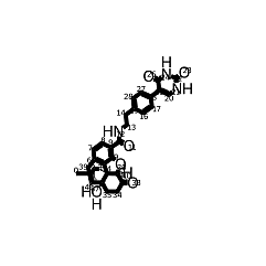 CC1CC[C@]23c4c5ccc(C(=O)NCCc6ccc(-c7c[nH]c(=O)[nH]c7=O)cc6)c4O[C@H]2C(=O)CC[C@@]3(O)[C@H]1C5